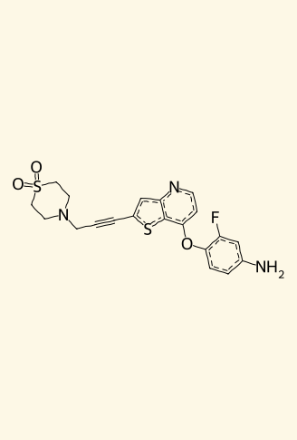 Nc1ccc(Oc2ccnc3cc(C#CCN4CCS(=O)(=O)CC4)sc23)c(F)c1